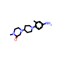 Cc1cc(N)ccc1N1CCC(N2CCN(C)C(=O)C2)CC1